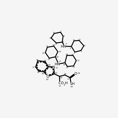 C1CCC(NC2CCCCC2)CC1.C1CCC(NC2CCCCC2)CC1.O=C(S)CC(C(=O)O)c1nc2ccccc2o1